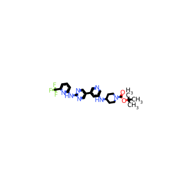 CC(C)(C)OC(=O)N1CCC(Nc2cncc(-c3cnc(Nc4cccc(C(F)(F)F)n4)nc3)c2)CC1